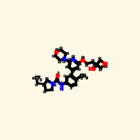 Cc1ccc(NC(=O)N2CC[C@@H](CC(F)(F)F)C2)cc1-c1cc(OCCC2(O)COC2)nc(N2CCOCC2)c1